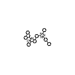 c1ccc(-c2ccc(-c3nc(-c4ccccc4)nc(-c4cccc(-c5cccc6c5nc(-c5cc7ccccc7c7ccccc57)c5oc7ccccc7c56)c4)n3)cc2)cc1